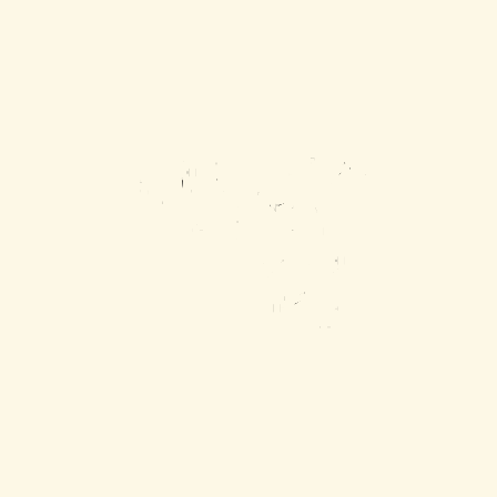 N[C@H]1CC[C@@H](N(C[C@H](O)[C@@H](O)[C@H](O)[C@H](O)CO)C[C@H](O)[C@@H](O)[C@H](O)[C@H](O)CO)CC1